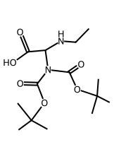 CCNC(C(=O)O)N(C(=O)OC(C)(C)C)C(=O)OC(C)(C)C